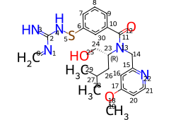 C=NC(=N)NSc1cccc(C(=O)N(Cc2cc(OC)ccn2)[C@@H](CO)CC(C)C)c1